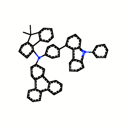 CC1(C)c2ccccc2-c2c(N(c3ccc(-c4cccc5c4c4ccccc4n5-c4ccccc4)cc3)c3ccc4c5ccccc5c5ccccc5c4c3)cccc21